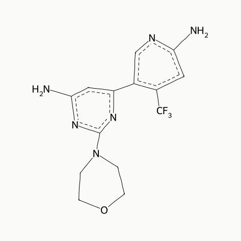 Nc1cc(C(F)(F)F)c(-c2cc(N)nc(N3CCOCC3)n2)cn1